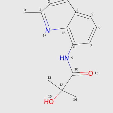 Cc1ccc2cccc(NC(=O)C(C)(C)O)c2n1